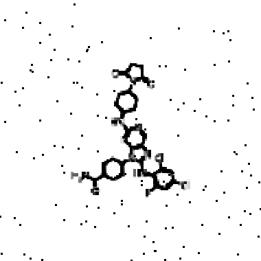 NC(=O)C1CCC(n2c(Nc3c(F)cc(Cl)cc3Cl)nc3cnc(NC4CCC(N5C(=O)CCC5=O)CC4)nc32)CC1